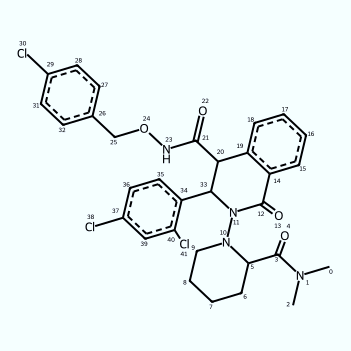 CN(C)C(=O)C1CCCCN1N1C(=O)c2ccccc2C(C(=O)NOCc2ccc(Cl)cc2)C1c1ccc(Cl)cc1Cl